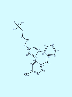 C[Si](C)(C)CCOCn1cc2c(n1)-c1cc(Cl)ccc1Oc1ccccc1-2